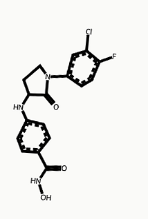 O=C(NO)c1ccc(NC2CCN(c3ccc(F)c(Cl)c3)C2=O)cc1